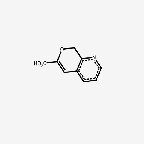 O=C(O)C1=Cc2cccnc2CO1